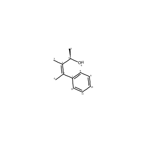 C/C(=C(\C)[C@@H](C)O)c1ccccc1